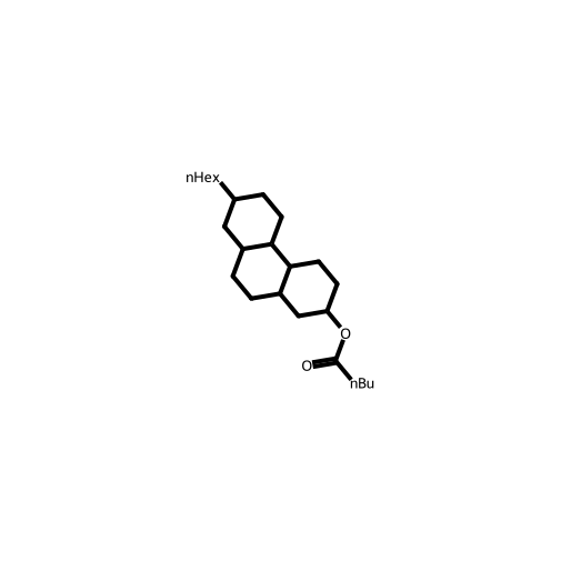 CCCCCCC1CCC2C(CCC3CC(OC(=O)CCCC)CCC32)C1